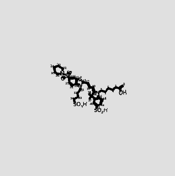 C=C(O)CCCCCN1/C(=C/C=C/C2Sc3cc(S(=O)(=O)N4CCCCC4)ccc3N2CCCCS(=O)(=O)O)C(C)(C)c2cc(S(=O)(=O)O)ccc21